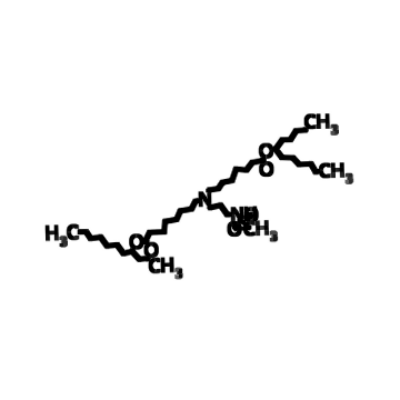 CCCCCCCC(CCC)OC(=O)CCCCCCCN(CCCCCCCC(=O)OC(CCCCC)CCCCCC)CCCNS(C)(=O)=O